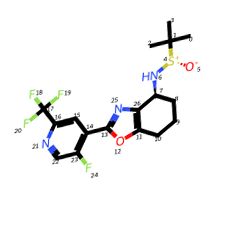 CC(C)(C)[S@+]([O-])N[C@H]1CCCc2oc(-c3cc(C(F)(F)F)ncc3F)nc21